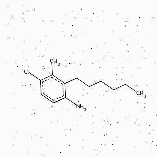 CCCCCCc1c(N)ccc(Cl)c1C